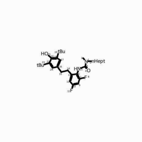 CCCCCCCN(C)C(=O)Nc1c(F)cc(F)cc1CCc1cc(C(C)(C)C)c(O)c(C(C)(C)C)c1